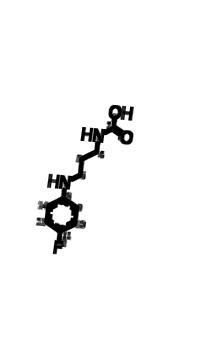 O=C(O)NCCCNc1ccc(F)cc1